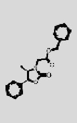 C[C@@H]1[C@H](c2ccccc2)OC(=O)N1CC(=O)OCc1ccccc1